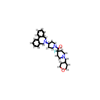 O=C(N1CCC(N2Cc3ccccc3-c3ccccc3C2)CC1)C1(F)CCN(CC2CCOCC2)CC1